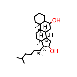 CC(C)CCC[C@@H](C)[C@H]1C(O)C[C@H]2[C@@H]3CC(O)C4CCCC[C@]4(C)[C@H]3CC[C@]12C